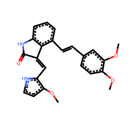 COc1ccc(C=Cc2cccc3c2C(=Cc2[nH]ccc2OC)C(=O)N3)cc1OC